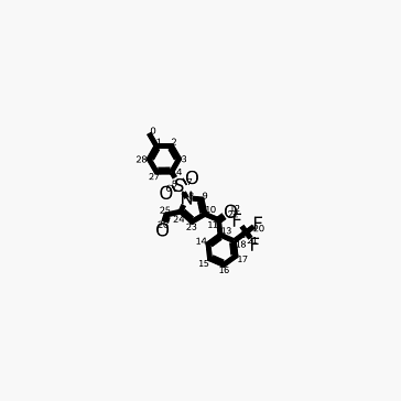 Cc1ccc(S(=O)(=O)n2cc(C(=O)c3ccccc3C(F)(F)F)cc2C=O)cc1